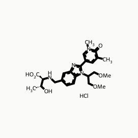 COCC(COC)n1c(-c2cc(C)c(=O)n(C)c2)nc2cc(CN[C@H](C(=O)O)[C@@H](C)O)ccc21.Cl